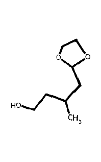 CC(CCO)CC1OCCO1